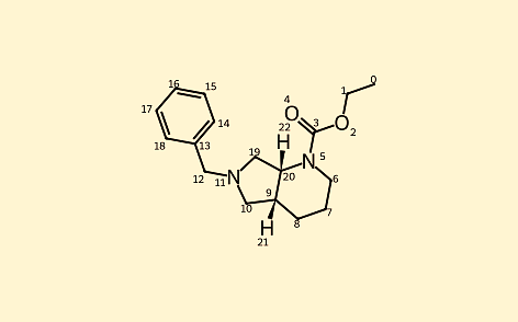 CCOC(=O)N1CCC[C@@H]2CN(Cc3ccccc3)C[C@@H]21